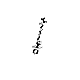 C=C(C)C(=O)NCCOCCOCCn1cc(C(O)(O)N2CCSCC2)nn1